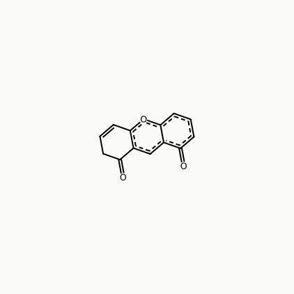 O=C1CC=Cc2oc3cccc(=O)c-3cc21